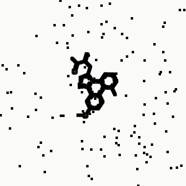 C=C(Cc1cnc2c3cc(OC)ccc3c3c(C)cccc3n12)C(C)=O